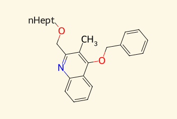 CCCCCCCOCc1nc2ccccc2c(OCc2ccccc2)c1C